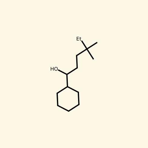 CCC(C)(C)CCC(O)C1CCCCC1